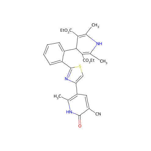 CCOC(=O)C1=C(C)NC(C)=C(C(=O)OCC)C1c1ccccc1-c1nc(-c2cc(C#N)c(=O)[nH]c2C)cs1